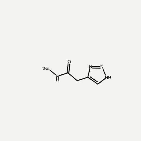 CC(C)(C)NC(=O)Cc1c[nH]nn1